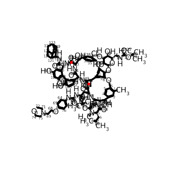 Cc1cc2ccc1Oc1cc3cc(c1O[C@@H]1O[C@H](CNC(=O)OC(C)(C)C)[C@@H](O)[C@H](O)[C@H]1O)Oc1ccc(cc1Cl)[C@@H](O)[C@@H]1NC(=O)[C@H](NC(=O)[C@@H]3NC(=O)[C@H](CC(=O)NC(=O)Nc3ccc(OCCN4CCOCC4)cc3)NC(=O)[C@H](NC(=O)[C@@H](CC(C)C)N(C)C(=O)OC(C)(C)C)[C@@H]2O)c2ccc(O)c(c2)-c2c(O)cc(O)cc2[C@@H](C(=O)NC2C3CC4CC(C3)CC2C4)NC1=O